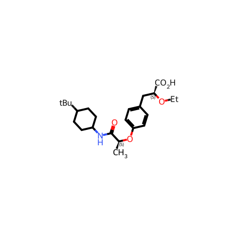 CCO[C@@H](Cc1ccc(O[C@@H](C)C(=O)NC2CCC(C(C)(C)C)CC2)cc1)C(=O)O